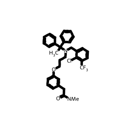 CNC(=O)Cc1cccc(OCCCN(Cc2cccc(C(F)(F)F)c2Cl)C(C)(c2ccccc2)c2ccccc2)c1